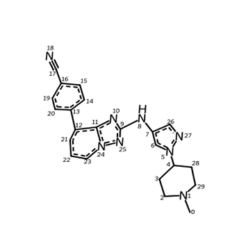 CN1CCC(n2cc(Nc3nc4c(-c5ccc(C#N)cc5)cccn4n3)cn2)CC1